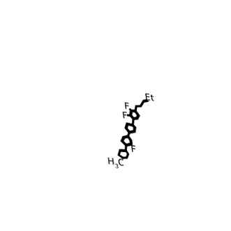 CC/C=C/CCc1ccc(-c2ccc(-c3ccc(C4=CCC(C)CC4)c(F)c3)cc2)c(F)c1F